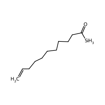 C=CCCCCCCCCC(=O)[SiH3]